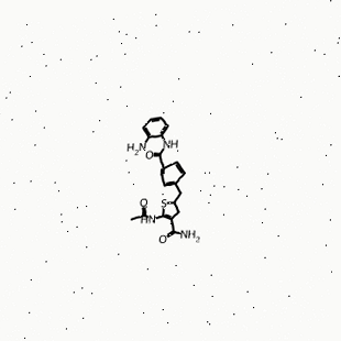 CC(=O)NC1=C(C(N)=O)CC(Cc2ccc(C(=O)Nc3ccccc3N)cc2)S1